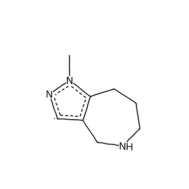 Cn1n[c]c2c1CCCNC2